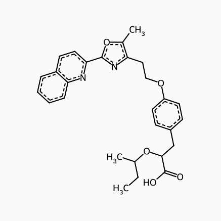 CCC(C)OC(Cc1ccc(OCCc2nc(-c3ccc4ccccc4n3)oc2C)cc1)C(=O)O